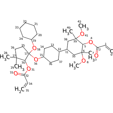 C=CC(=O)OC1C(C)(OC)CC(C2CCC(OC3(OC4CCCCC4)CCC(C)(C)C3OC(=O)C=C)CC2)CC1(C)OC